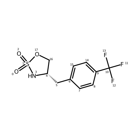 O=S1(=O)N[C@@H](Cc2ccc(C(F)(F)F)cc2)CO1